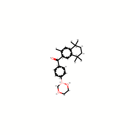 Cc1cc2c(cc1C(=O)c1ccc(B3COCCO3)cc1)C(C)(C)CCC2(C)C